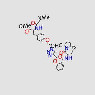 CNCC(=O)NC(Cc1ccc(OCCn2cc(COc3ccccc3C(=O)NC(CC3CC3)C(=O)N3CCCC3C=O)nn2)cc1)C(=O)OC